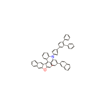 c1ccc(-c2ccc(-c3ccc(N(c4cccc(-c5ccc6ccccc6c5)c4)c4ccccc4-c4cccc5oc6cc7ccccc7cc6c45)cc3)cc2-c2ccccc2)cc1